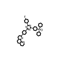 O=P(c1ccccc1)(c1ccccc1)c1ccc(-c2nc(-c3ccc(F)cc3)nc(-c3ccc(-c4ccc5ccc6cccnc6c5n4)cc3)n2)cc1